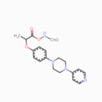 CC(Oc1ccc(N2CCN(c3ccncc3)CC2)cc1)C(=O)ONC=O